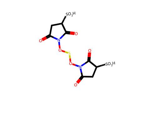 O=C1CC(S(=O)(=O)O)C(=O)N1OSON1C(=O)CC(S(=O)(=O)O)C1=O